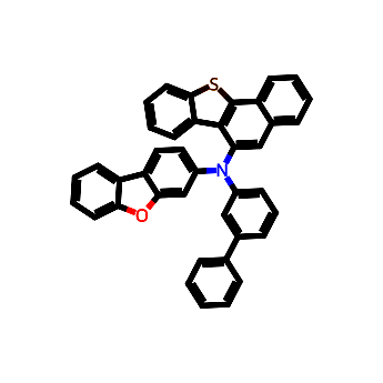 c1ccc(-c2cccc(N(c3ccc4c(c3)oc3ccccc34)c3cc4ccccc4c4sc5ccccc5c34)c2)cc1